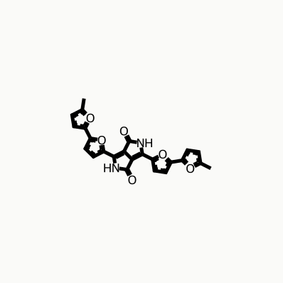 Cc1ccc(-c2ccc(C3=C4C(=O)NC(c5ccc(-c6ccc(C)o6)o5)=C4C(=O)N3)o2)o1